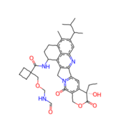 CC[C@@]1(O)C(=O)OCc2c1cc1n(c2=O)Cc2c-1nc1cc(C(C)C(C)C)c(C)c3c1c2C(NC(=O)C1(COCNC=O)CCC1)CC3